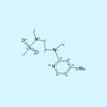 CN(CCN(C)S(C)(=O)=O)c1cc(C(C)(C)C)ccn1